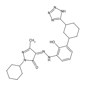 CC1=NN(C2CCCCC2)C(=O)C1=NNc1cccc(C2CCCC(c3nnn[nH]3)C2)c1O